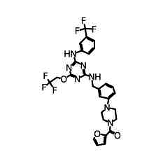 O=C(c1ccco1)N1CCN(c2cccc(CNc3nc(Nc4cccc(C(F)(F)F)c4)nc(OCC(F)(F)F)n3)c2)CC1